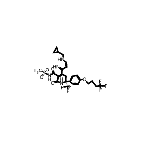 CS(=O)(=O)NC(=O)C1=C(C(=N)/C=C\NCC2CC2)C[C@](c2ccc(OCCCC(F)(F)F)cc2)(C(F)(F)F)NC1=O